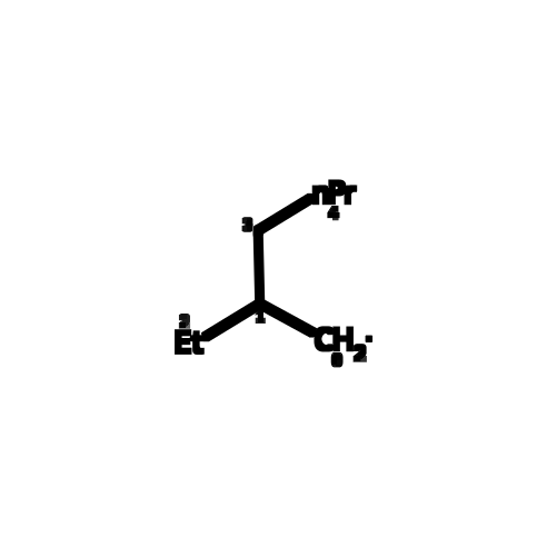 [CH2]C(CC)CCCC